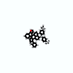 C[Si](C)(C)c1ccc(N(c2ccc([Si](C)(C)C)cc2)c2ccc3c4c(cccc24)C2(c4ccccc4-c4ccccc42)c2ccc4sc5ccccc5c4c2-3)cc1